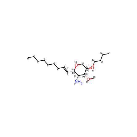 CCCCCCC/C=C/[C@@H]1OC[C@@H](OCCCC)[C@H](OC)[C@@H]1N